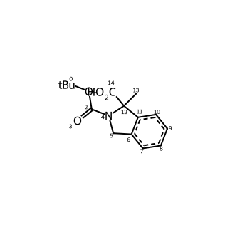 CC(C)(C)OC(=O)N1Cc2ccccc2C1(C)C(=O)O